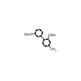 COc1cccc(-c2ccc(C)cc2OC)c1